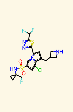 O=S(=O)(NC1(CF)CC1)c1cc(Cl)c2c(CC3CNC3)cc(-c3nnc(C(F)F)s3)n2c1